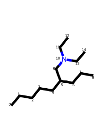 CCCCCC(CCC)CN(CC)CC